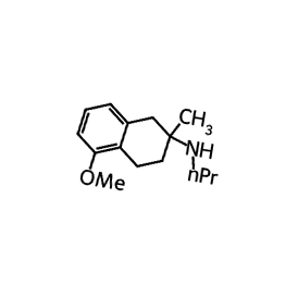 CCCNC1(C)CCc2c(cccc2OC)C1